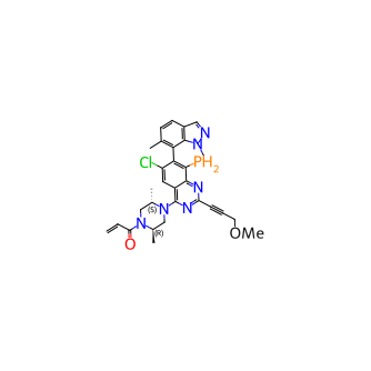 C=CC(=O)N1C[C@H](C)N(c2nc(C#CCOC)nc3c(P)c(-c4c(C)ccc5cnn(C)c45)c(Cl)cc23)C[C@H]1C